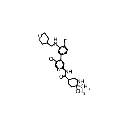 CC1(C)CC[C@@H](C(=O)Nc2cc(-c3ccc(F)c(NCC4CCOCC4)c3)c(Cl)cn2)CN1